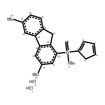 Cl.Cl.[CH2]=[Zr]([CH2]CCC)([C]1=CC=CC1)[c]1cc(C(C)(C)C)cc2c1Cc1ccc(C(C)(C)C)cc1-2